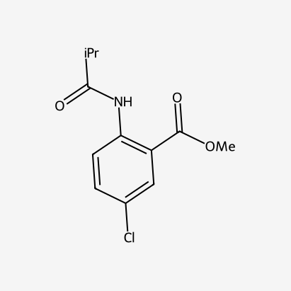 COC(=O)c1cc(Cl)ccc1NC(=O)C(C)C